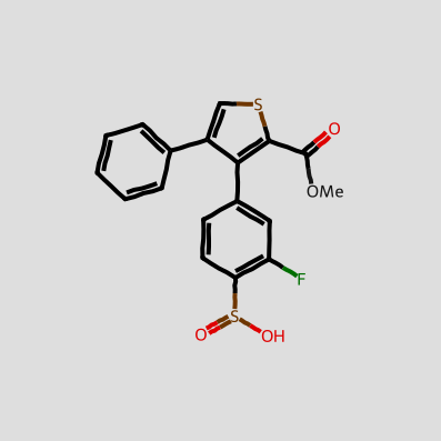 COC(=O)c1scc(-c2ccccc2)c1-c1ccc(S(=O)O)c(F)c1